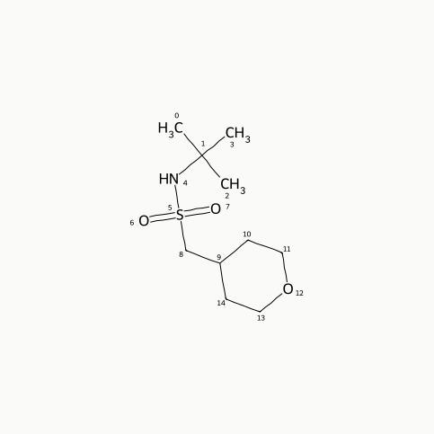 CC(C)(C)NS(=O)(=O)CC1CCOCC1